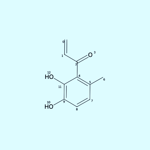 C=CC(=O)c1c(C)ccc(O)c1O